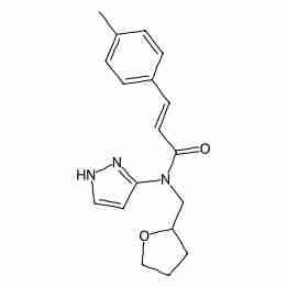 Cc1ccc(C=CC(=O)N(CC2CCCO2)c2cc[nH]n2)cc1